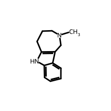 CN1CCCc2[nH]c3ccccc3c2C1